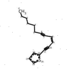 CCCCCCC#C/C=C\C#Cc1cccs1